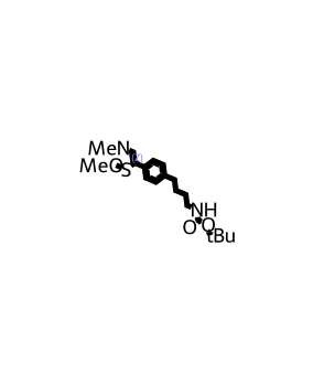 CN/C=C(\SOC)c1ccc(CCCCNC(=O)OC(C)(C)C)cc1